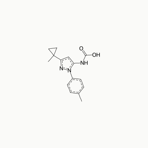 Cc1ccc(-n2nc(C3(C)CC3)cc2NC(=O)O)cc1